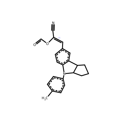 Cc1ccc(N2c3ccc(/C=C(/C#N)OC=O)cc3C3CCCC32)cc1